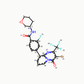 O=C(N[C@@H]1CCCOC1)c1ccc(-c2cccn3c(=O)c(Br)c(C(F)(F)F)nc23)cc1F